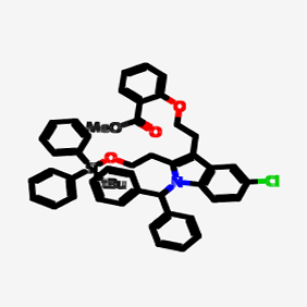 COC(=O)c1ccccc1OCCc1c(CCO[Si](c2ccccc2)(c2ccccc2)C(C)(C)C)n(C(c2ccccc2)c2ccccc2)c2ccc(Cl)cc12